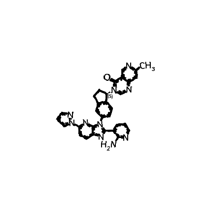 Cc1cc2ncn([C@H]3CCc4cc(-n5c(-c6cccnc6N)nc6ccc(-n7cccn7)nc65)ccc43)c(=O)c2cn1